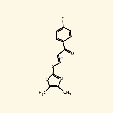 Cc1nc(S/C=C/C(=O)c2ccc(F)cc2)oc1C